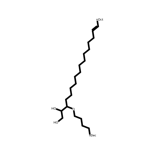 CCCCCCCCC=CCCCCCCCCCCCCC(OCCCCCCCCCCCCCC)C(O)CO